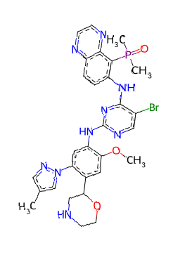 COc1cc(C2CNCCO2)c(-n2cc(C)cn2)cc1Nc1ncc(Br)c(Nc2ccc3nccnc3c2P(C)(C)=O)n1